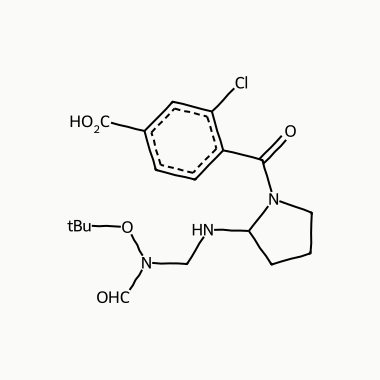 CC(C)(C)ON(C=O)CNC1CCCN1C(=O)c1ccc(C(=O)O)cc1Cl